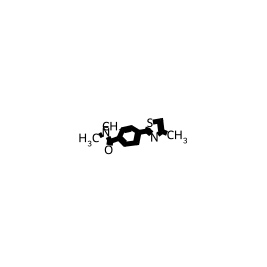 Cc1csc(-c2ccc(C(=O)N(C)C)cc2)n1